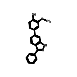 COc1cc(-c2ccc3c(-c4ccccc4)n[nH]c3c2)ccc1O